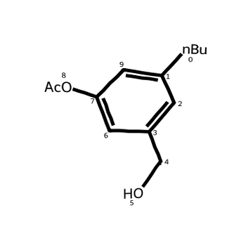 CCCCc1cc([CH]O)cc(OC(C)=O)c1